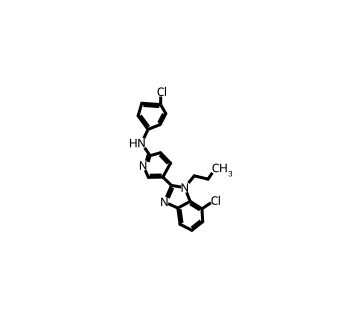 CCCn1c(-c2ccc(Nc3ccc(Cl)cc3)nc2)nc2cccc(Cl)c21